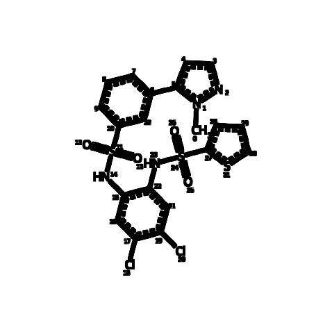 Cn1nccc1-c1cccc(S(=O)(=O)Nc2cc(Cl)c(Cl)cc2NS(=O)(=O)c2cccs2)c1